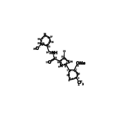 COc1cc(C(F)(F)F)ccc1-c1nc(C(=O)NCc2cccc[n+]2[O-])c(C)s1